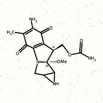 CO[C@]12C3NC3CN1C1=C(C(=O)C(N)=C(C)C1=O)[C@H]2COC(N)=O